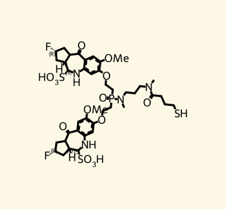 COc1cc2c(cc1OCCP(=O)(CCOc1cc3c(cc1OC)C(=O)C1C[C@@H](F)C[C@H]1[C@H](S(=O)(=O)O)N3)N(C)CCCN(C)C(=O)CCCS)N[C@@H](S(=O)(=O)O)[C@@H]1C[C@H](F)CC1C2=O